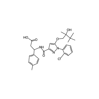 Cc1ccc(C(CC(=O)O)NC(=O)c2cc(OCC(C)(O)C(C)(C)C)n(-c3ccccc3Cl)n2)cc1